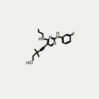 CCCNc1nc(Nc2cccc(F)c2)ncc1C#CC(C)(C)CCO